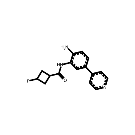 Nc1ccc(-c2ccncc2)cc1NC(=O)C1CC(F)C1